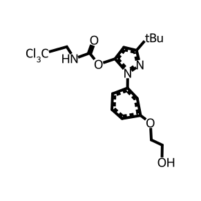 CC(C)(C)c1cc(OC(=O)NCC(Cl)(Cl)Cl)n(-c2cccc(OCCO)c2)n1